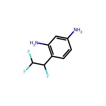 Nc1ccc(C(F)C(F)F)c(N)c1